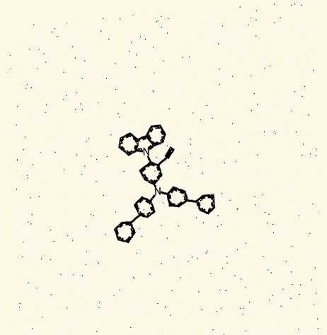 C#Cc1cc(N(c2ccc(-c3ccccc3)cc2)c2ccc(-c3ccccc3)cc2)ccc1-n1c2ccccc2c2ccccc21